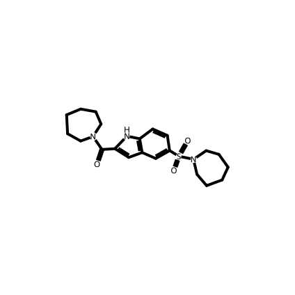 O=C(c1cc2cc(S(=O)(=O)N3CCCCCC3)ccc2[nH]1)N1CCCCCC1